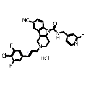 Cl.N#Cc1ccc2c(c1)c1c(n2C(=O)NCc2ccnc(F)c2)CCN(C/C=C/c2cc(F)c(Cl)c(F)c2)C1